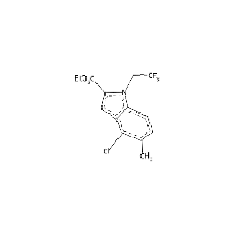 CCOC(=O)c1cc2c(Cl)c(C)ccc2n1CC(F)(F)F